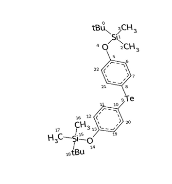 CC(C)(C)[Si](C)(C)Oc1ccc([Te]c2ccc(O[Si](C)(C)C(C)(C)C)cc2)cc1